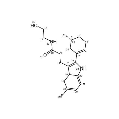 C[C@@H]1CCC=C(C2=C(CCC(=O)NCCO)C3CC(F)=CC=C3N2)C1